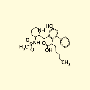 CCCCCC(C(=O)O)c1c(CC2NCCCC2NS(C)(=O)=O)cccc1-c1ccccc1.Cl